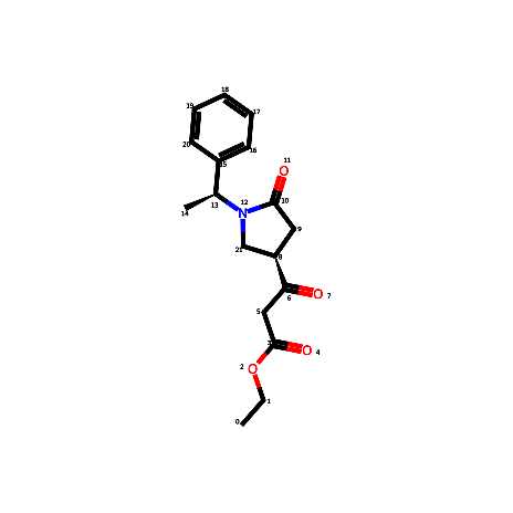 CCOC(=O)CC(=O)[C@@H]1CC(=O)N([C@@H](C)c2ccccc2)C1